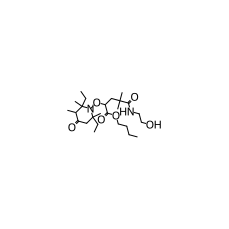 CCCCOC(=O)C(CC(C)(C)C(=O)NCCO)ON1C(C)(CC)CC(=O)C(C)C1(C)CC